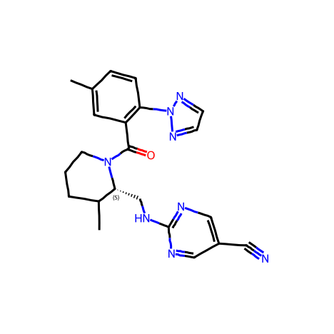 Cc1ccc(-n2nccn2)c(C(=O)N2CCCC(C)[C@H]2CNc2ncc(C#N)cn2)c1